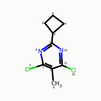 Cc1c(Cl)nc(C2CCC2)nc1Cl